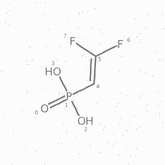 O=P(O)(O)C=C(F)F